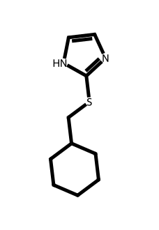 c1c[nH]c(SCC2CCCCC2)n1